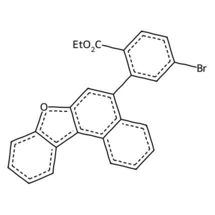 CCOC(=O)c1ccc(Br)cc1-c1cc2oc3ccccc3c2c2ccccc12